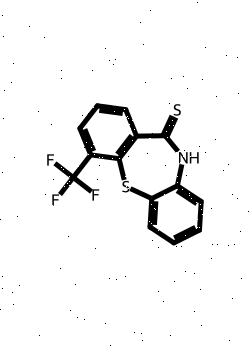 FC(F)(F)c1cccc2c1Sc1ccccc1NC2=S